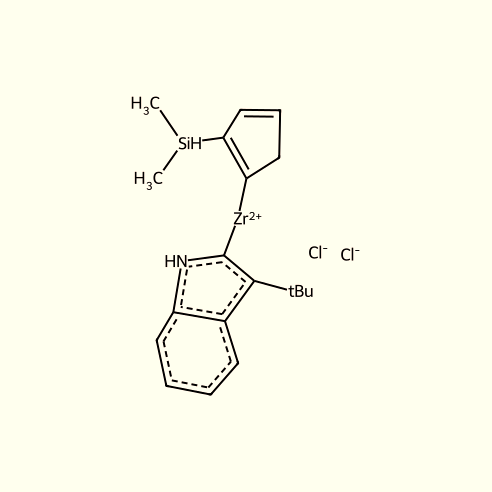 C[SiH](C)C1=[C]([Zr+2][c]2[nH]c3ccccc3c2C(C)(C)C)CC=C1.[Cl-].[Cl-]